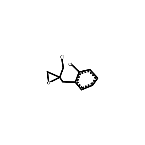 ClCC1(Cc2ccccc2Cl)CO1